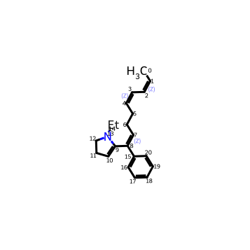 C/C=C\C=C/CC/C=C(\C1=CCCN1CC)c1ccccc1